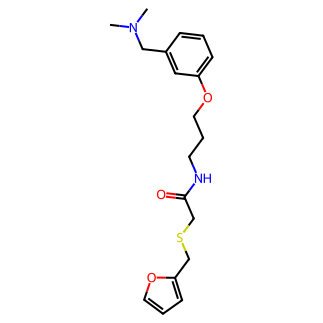 CN(C)Cc1cccc(OCCCNC(=O)CSCc2ccco2)c1